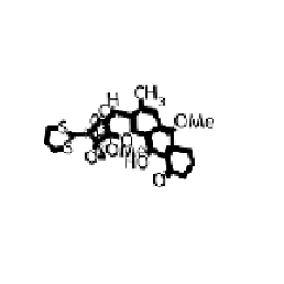 COc1c2c(c(O)c3c4c(c(C)cc13)[C@@H]1O[C@@]3(C5SCCCS5)O[C@@H]1[C@@](OC)(O4)[C@@]31CO1)C(=O)CCC2